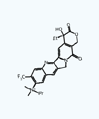 CC[C@@]1(O)C(=O)OCc2c1cc1n(c2=O)Cc2cc3cc([N+](C)(C)C(C)C)c(C(F)(F)F)cc3nc2-1